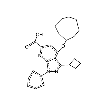 O=C(O)c1cc(OC2CCCCCCC2)c2c(C3CCC3)nn(-c3ccccc3)c2n1